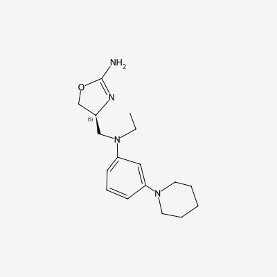 CCN(C[C@H]1COC(N)=N1)c1cccc(N2CCCCC2)c1